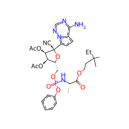 CCC(C)(C)CCOC(=O)[C@H](C)NP(=O)(OC[C@H]1O[C@@](C#N)(c2ccc3c(N)ncnn23)[C@H](OC(C)=O)[C@@H]1OC(C)=O)Oc1ccccc1